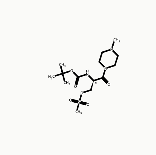 CN1CCN(C(=O)[C@@H](COS(C)(=O)=O)NC(=O)OC(C)(C)C)CC1